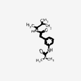 CC(C)C(C)NC(=O)Cc1cccc(NC(=O)N(C)C)c1